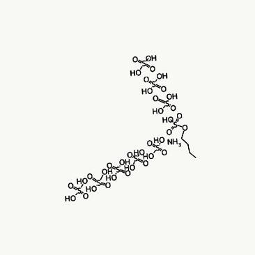 CCCCOS(=O)(=O)O.N.O=S(=O)(O)O.O=S(=O)(O)O.O=S(=O)(O)O.O=S(=O)(O)O.O=S(=O)(O)O.O=S(=O)(O)O.O=S(=O)(O)O.O=S(=O)(O)O